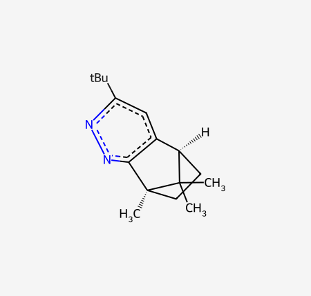 CC(C)(C)c1cc2c(nn1)[C@]1(C)CC[C@H]2C1(C)C